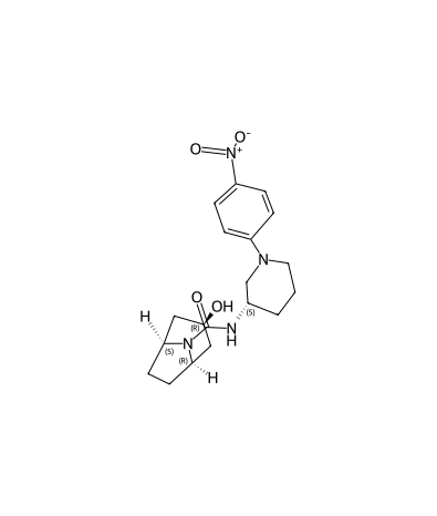 O=C(N[C@H]1CCCN(c2ccc([N+](=O)[O-])cc2)C1)N1[C@@H]2CC[C@H]1C[C@@H](O)C2